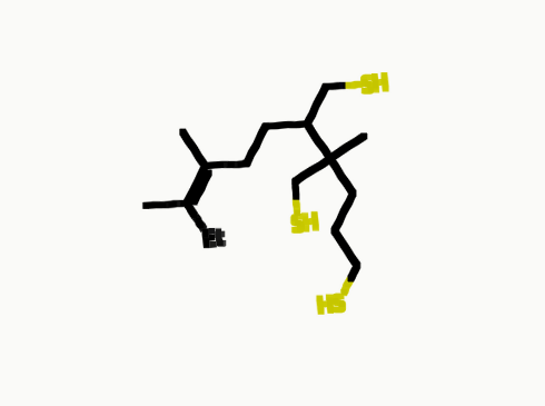 CC/C(C)=C(/C)CCC(CS)C(C)(CS)CCCS